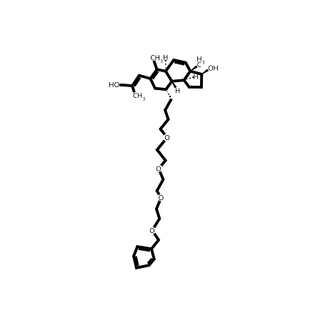 CC1=C(/C=C(\C)O)C[C@@H](CCCCOCCOCCOCCOCc2ccccc2)[C@@H]2[C@@H]1C=C[C@]1(C)[C@@H](O)CC[C@@H]21